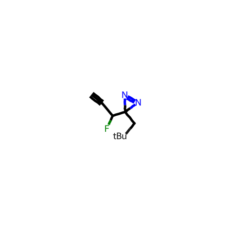 C#CC(F)C1(CC(C)(C)C)N=N1